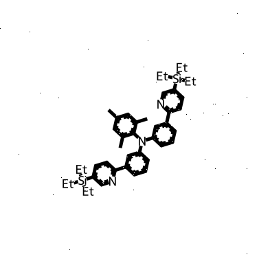 CC[Si](CC)(CC)c1ccc(-c2cccc(N(c3cccc(-c4ccc([Si](CC)(CC)CC)cn4)c3)c3c(C)cc(C)cc3C)c2)nc1